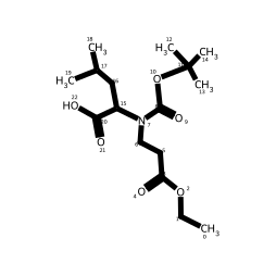 CCOC(=O)CCN(C(=O)OC(C)(C)C)C(CC(C)C)C(=O)O